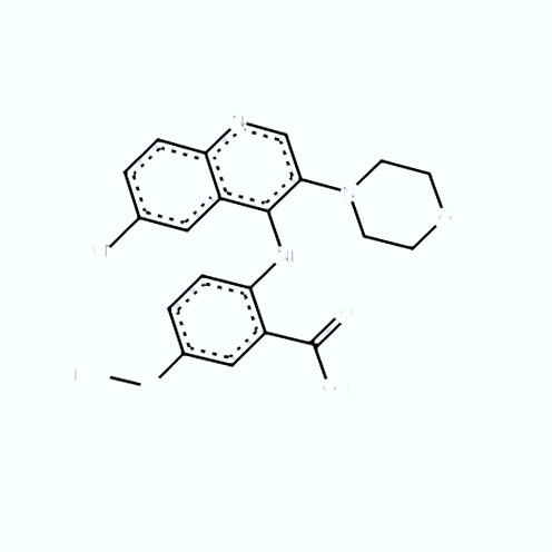 COc1ccc(Nc2c(N3CCOCC3)cnc3ccc(Cl)cc23)c(C(=O)O)c1